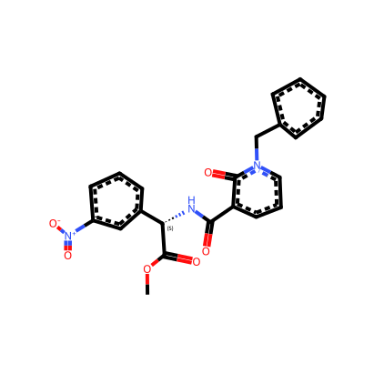 COC(=O)[C@@H](NC(=O)c1cccn(Cc2ccccc2)c1=O)c1cccc([N+](=O)[O-])c1